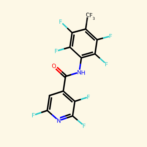 O=C(Nc1c(F)c(F)c(C(F)(F)F)c(F)c1F)c1cc(F)nc(F)c1F